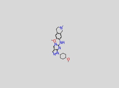 COc1cc2c(cc1Nc1ncc3cnn([C@H]4CC[C@@H](OC)CC4)c3n1)CN(C)CC2